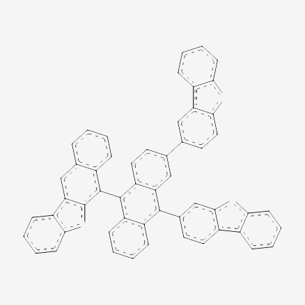 c1ccc2c(-c3c4ccccc4c(-c4ccc5c(c4)sc4ccccc45)c4cc(-c5ccc6oc7ccccc7c6c5)ccc34)c3oc4ccccc4c3cc2c1